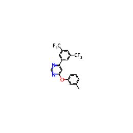 Cc1[c]c(Oc2cc(-c3cc(C(F)(F)F)cc(C(F)(F)F)c3)ncn2)ccc1